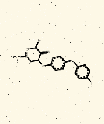 CCOC(=O)NCC(Oc1ccc(Oc2ccc(F)cc2)cc1)C(=O)N(CC)CC